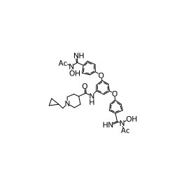 CC(=O)N(O)C(=N)c1ccc(Oc2cc(NC(=O)C3CCN(CC4CC4)CC3)cc(Oc3ccc(C(=N)N(O)C(C)=O)cc3)c2)cc1